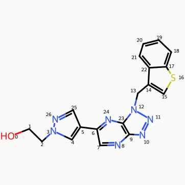 OCCn1cc(-c2cnc3nnn(Cc4csc5ccccc45)c3n2)cn1